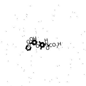 Cc1cc(NC(=O)C(=O)O)cc(C)c1Oc1ccc(O)c(C(=O)N2CCCCC2)c1